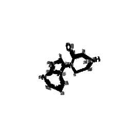 O=C1CNCCN1c1cnc2ncccn12